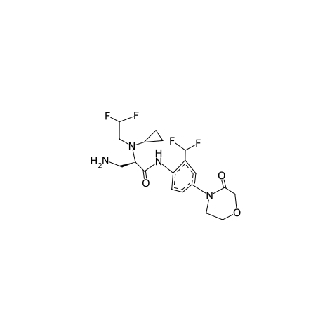 NC[C@H](C(=O)Nc1ccc(N2CCOCC2=O)cc1C(F)F)N(CC(F)F)C1CC1